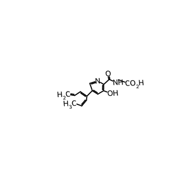 C=C/C=C(\C=C/C)c1cnc(C(=O)NCC(=O)O)c(O)c1